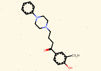 O=C(CCCN1CCN(c2ccccc2)CC1)c1ccc(O)c(C(=O)O)c1